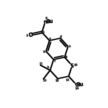 CCCCC(=O)c1ccc2c(c1)C(C)(C)CC(C(C)(C)C)S2